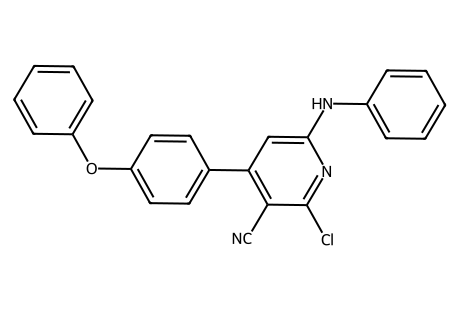 N#Cc1c(-c2ccc(Oc3ccccc3)cc2)cc(Nc2ccccc2)nc1Cl